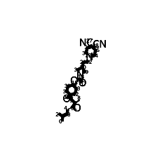 CC(C)=CC[C@H]1O[C@@]1(C)C1OC12CCC(OC(=O)N1CC(CCN3CCC(C#N)(C#N)CC3)C1)CC2